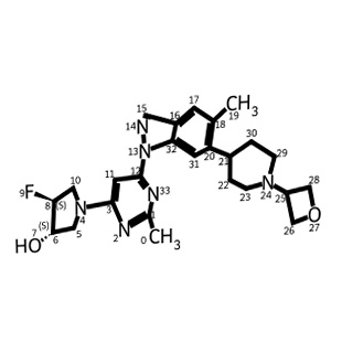 Cc1nc(N2C[C@H](O)[C@@H](F)C2)cc(-n2ncc3cc(C)c(C4CCN(C5COC5)CC4)cc32)n1